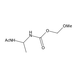 COCOC(=O)NC(C)NC(C)=O